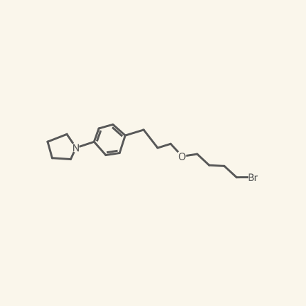 BrCCCCOCCCc1ccc(N2CCCC2)cc1